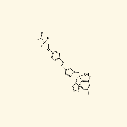 OC(Cn1ccc(C=Cc2ccc(OCC(F)(F)C(F)F)cc2)c1)(Cn1cncn1)c1ccc(F)cc1F